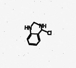 ClC1NCNc2ccccc21